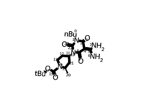 CCCCN1C(=O)C(=C(N)N)C(=O)N([C@@H]2CCN(C(=O)OC(C)(C)C)[C@H](C)C2)C1=O